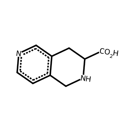 O=C(O)C1Cc2cnccc2CN1